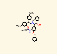 COC(=O)Nc1cc(C(CO)N(Cc2ccccc2)CC(c2ccc(OC)cc2)c2ccc(OC)cc2)ccc1OCc1ccccc1